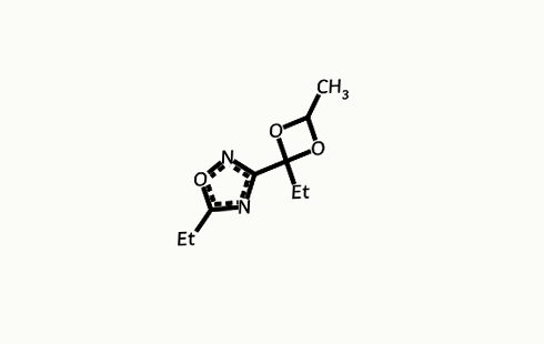 CCc1nc(C2(CC)OC(C)O2)no1